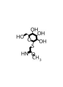 COC(=N)CS[C@@H]1O[C@H](CO)[C@H](O)[C@H](O)[C@H]1O